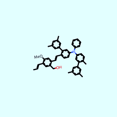 CC=Cc1cc(CO)c(C=Cc2ccc(N(c3ccccc3)c3ccc(C)c(-c4cc(C)cc(C)c4)c3)cc2-c2cc(C)cc(C)c2)cc1OC